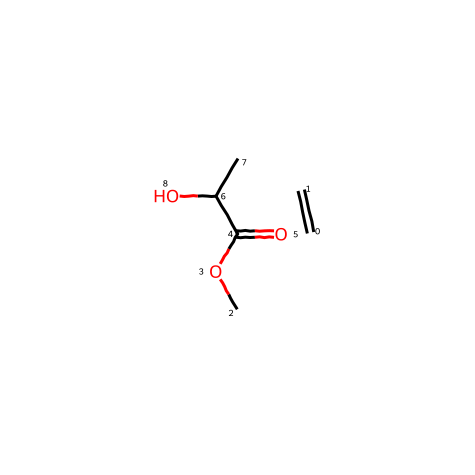 C=C.COC(=O)C(C)O